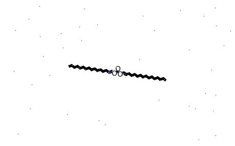 CCCCCCCCCCCCCC/C=C/OC(=O)O/C=C/CCCCCCCCCCCCCC